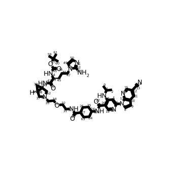 CC(C)Nc1cc(-n2ccc3cc(C#N)cnc32)ncc1C(=O)NC1CCC(C(=O)NCCOCCN2C[C@H]3C[C@@]3(NC(=O)[C@H](CCCn3ccnc3N)NC(=O)OC(C)(C)C)C2)CC1